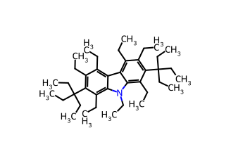 CCc1c(C(CC)(CC)CC)c(CC)c2c(c1CC)c1c(CC)c(CC)c(C(CC)(CC)CC)c(CC)c1n2CC